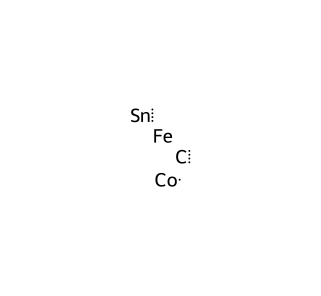 [C].[Co].[Fe].[Sn]